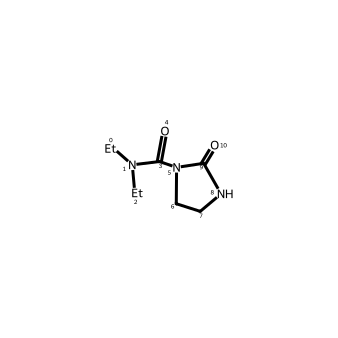 CCN(CC)C(=O)N1CCNC1=O